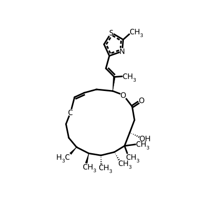 C/C(=C\c1csc(C)n1)[C@@H]1C/C=C\CCC[C@H](C)[C@H](C)[C@@H](C)[C@@H](C)C(C)(C)[C@@H](O)CC(=O)O1